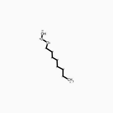 CC[CH]CCCCCOOO